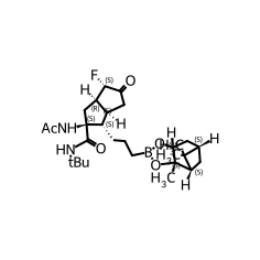 CC(=O)N[C@@]1(C(=O)NC(C)(C)C)C[C@@H]2[C@@H](CC(=O)[C@H]2F)[C@@H]1CCCB1O[C@@H]2C[C@@H]3C[C@@H](C3(C)C)[C@]2(C)O1